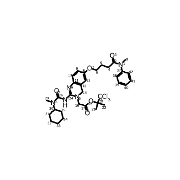 CN(C(=O)CCCOc1ccc2c(c1)CN(CC(=O)OC(C)(C)C(Cl)(Cl)Cl)C(NC(=O)N(C)C1CCCCC1)=N2)c1ccccc1